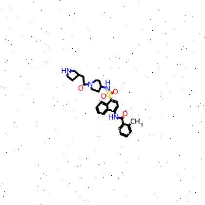 Cc1ccccc1C(=O)Nc1ccc(S(=O)(=O)NC2CCN(C(=O)CC3CCNC3)CC2)c2ccccc12